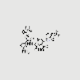 Nc1nc(/C(=N/OC(=O)C(F)(F)F)C(=O)NC2C(=O)N3C(C(=O)O)=C(/C=C4\CCN(CC(F)(F)F)C4=O)CSC23)cs1